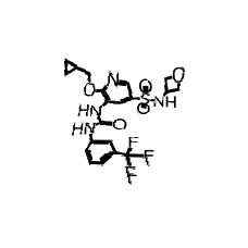 O=C(Nc1cccc(C(F)(F)F)c1)Nc1cc(S(=O)(=O)NC2COC2)cnc1OCC1CC1